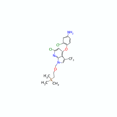 CS(C)(C)CCOCn1cc(C(F)(F)F)c2c(Oc3ccc(N)cc3Cl)cc(Cl)nc21